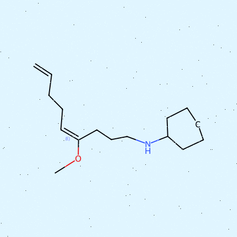 C=CCC/C=C(\CCCNC1CCCCC1)OC